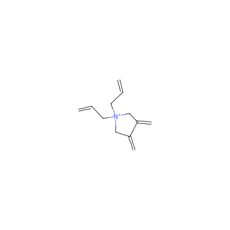 C=CC[N+]1(CC=C)CC(=C)C(=C)C1